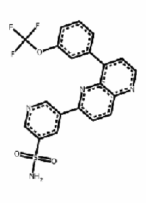 NS(=O)(=O)c1cncc(-c2ccc3nccc(-c4cccc(OC(F)(F)F)c4)c3n2)c1